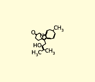 CC(C)=C(O)Cc1c2n(c3/c1=C\C=C/C(C)C\C=3)CC(=O)CC2